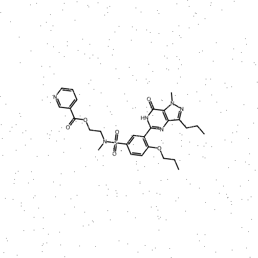 CCCOc1ccc(S(=O)(=O)N(C)CCOC(=O)c2cccnc2)cc1-c1nc2c(CCC)nn(C)c2c(=O)[nH]1